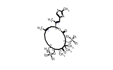 CC[Si](CC)(CC)O[C@H]1[C@@H](C)CCC/C(C)=C\C[C@@H](/C(C)=C/c2csc(C)n2)OC(=O)C[C@H](O[Si](CC)(CC)CC)C(C)(C)C(=O)[C@@H]1C